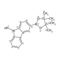 CCCn1c2ccccc2c2cc(B3OC(C)(C)C(C)(C)O3)ccc21